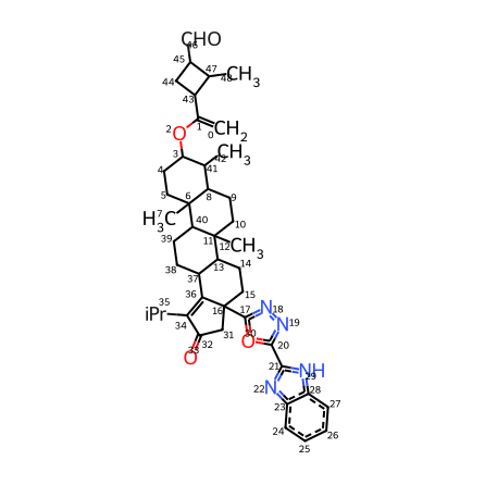 C=C(OC1CCC2(C)C(CCC3(C)C4CCC5(c6nnc(-c7nc8ccccc8[nH]7)o6)CC(=O)C(C(C)C)=C5C4CCC32)C1C)C1CC(C=O)C1C